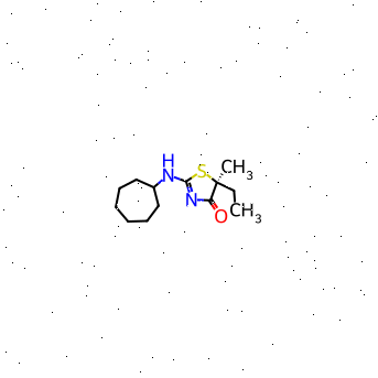 CC[C@]1(C)SC(NC2CCCCCC2)=NC1=O